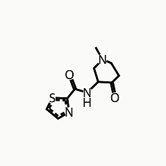 CN1CCC(=O)C(NC(=O)c2nccs2)C1